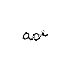 C=CC(=O)N1CCN(CC2CCCCC2)CC1